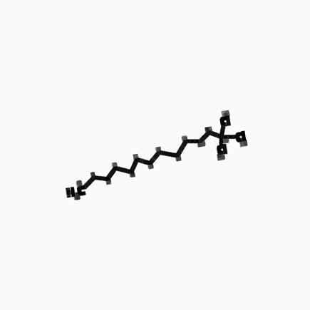 CCCCCCCCCCCCC(Cl)(Cl)Cl